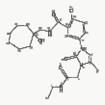 CCNC(=O)Cn1c(C)cn(-c2ccc(Cl)c(C(=O)NCC3(O)CCCCCC3)c2)c1=O